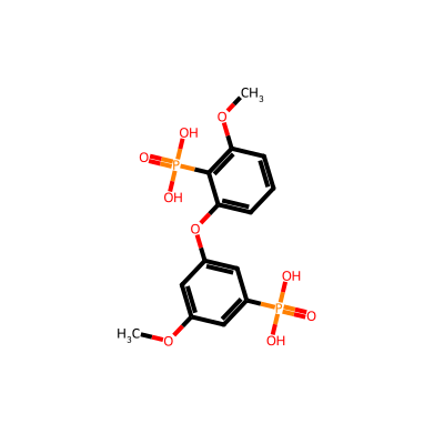 COc1cc(Oc2cccc(OC)c2P(=O)(O)O)cc(P(=O)(O)O)c1